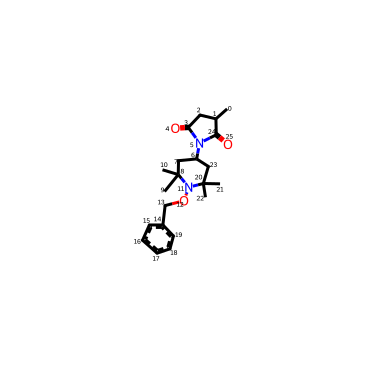 CC1CC(=O)N(C2CC(C)(C)N(OCc3ccccc3)C(C)(C)C2)C1=O